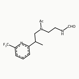 CC(=O)N(CCNC=O)CC(C)c1cccc(C(F)(F)F)n1